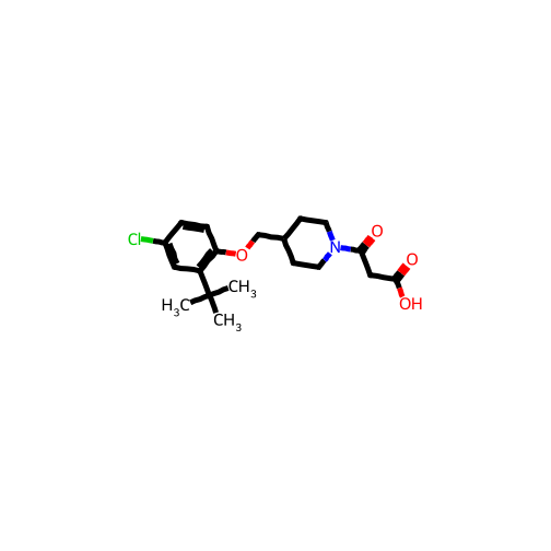 CC(C)(C)c1cc(Cl)ccc1OCC1CCN(C(=O)CC(=O)O)CC1